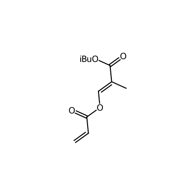 C=CC(=O)OC=C(C)C(=O)OCC(C)C